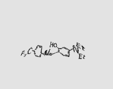 CCN(CC)c1ccc(/C=N/c2ccc(C(F)(F)F)cc2)c(O)c1